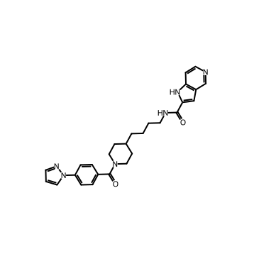 O=C(NCCCCC1CCN(C(=O)c2ccc(-n3cccn3)cc2)CC1)c1cc2cnccc2[nH]1